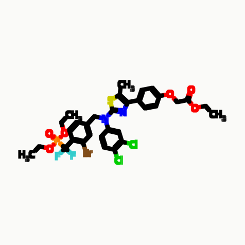 CCOC(=O)COc1ccc(-c2nc(N(Cc3ccc(C(F)(F)P(=O)(OCC)OCC)c(Br)c3)c3ccc(Cl)c(Cl)c3)sc2C)cc1